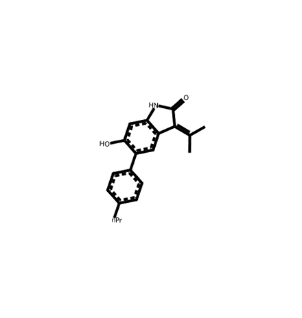 CCCc1ccc(-c2cc3c(cc2O)NC(=O)C3=C(C)C)cc1